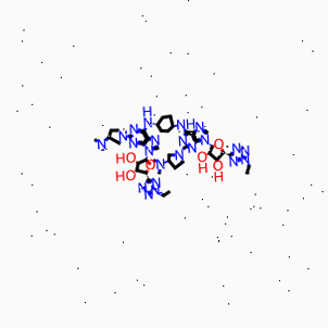 CCn1nnc([C@H]2O[C@@H](n3cnc4c(N[C@H]5CC[C@H](Nc6nc(N7CC[C@@H](N(C)C)C7)nc7c6ncn7[C@@H]6O[C@H](c7nnn(CC)n7)[C@@H](O)[C@H]6O)CC5)nc(N5CCC(N(C)C)C5)nc43)[C@H](O)[C@@H]2O)n1